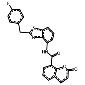 O=C(Nc1cccc2sc(Cc3ccc(F)cc3)nc12)c1cccc2ccc(=O)oc12